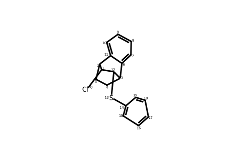 ClC1C2CCC(c3ccccc32)C1Sc1ccccc1